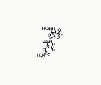 C=C1CN(CCC(C)(C(=O)NO)S(C)(=O)=O)C(=O)N1/C=C(\C)N